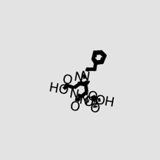 O=C(O)C1c2nn(CCc3ccccc3)cc2C2CN1C(=O)N2OS(=O)(=O)O